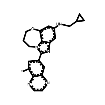 Fc1cc(-c2nc3cc(NCC4CC4)cc4c3n2CCCO4)cc2nccnc12